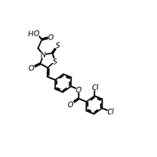 O=C(O)CN1C(=O)C(=Cc2ccc(OC(=O)c3ccc(Cl)cc3Cl)cc2)SC1=S